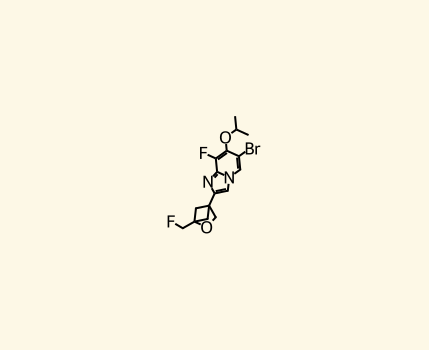 CC(C)Oc1c(Br)cn2cc(C34COC(CF)(C3)C4)nc2c1F